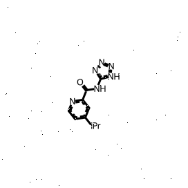 CC(C)c1ccnc(C(=O)Nc2nnn[nH]2)c1